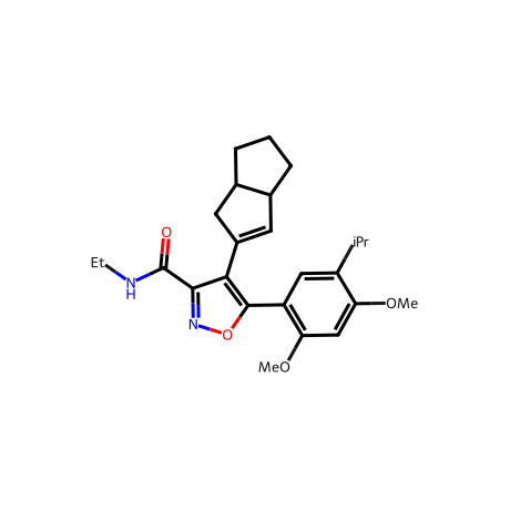 CCNC(=O)c1noc(-c2cc(C(C)C)c(OC)cc2OC)c1C1=CC2CCCC2C1